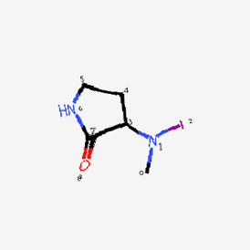 CN(I)C1CCNC1=O